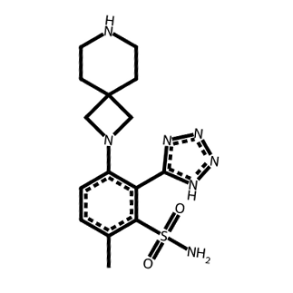 Cc1ccc(N2CC3(CCNCC3)C2)c(-c2nnn[nH]2)c1S(N)(=O)=O